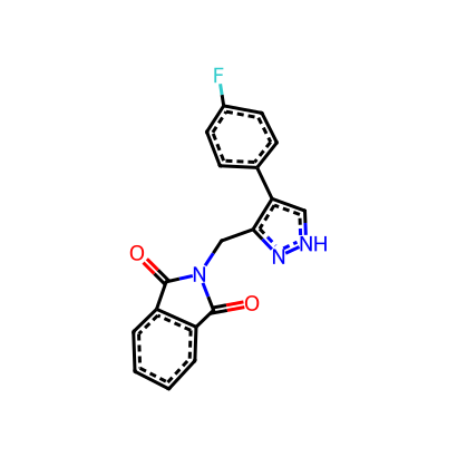 O=C1c2ccccc2C(=O)N1Cc1n[nH]cc1-c1ccc(F)cc1